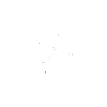 CC(C)[N+](C)(C)C.[Br-]